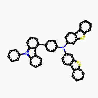 c1ccc(-n2c3ccccc3c3c(-c4ccc(N(c5ccc6c(c5)sc5ccccc56)c5ccc6c(c5)sc5ccccc56)cc4)cccc32)cc1